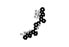 CC1(C)c2ccccc2-c2ccc3c(c21)C(C)(C)c1cc(-c2cnc4c(ccc5cc(-c6cc7c(c8ccccc68)-c6ccc8c(c6C7(C)C)C(C)(C)c6ccccc6-8)cnc54)c2)c2ccccc2c1-3